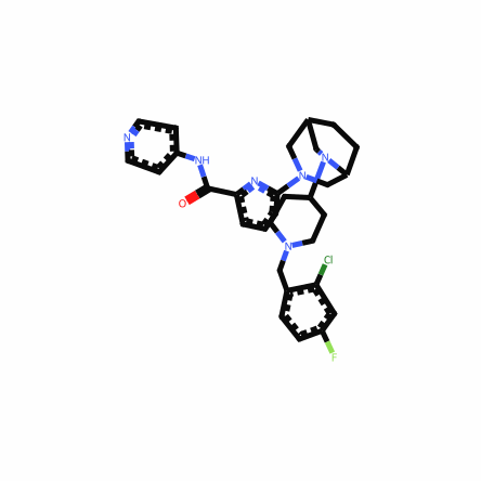 O=C(Nc1ccncc1)c1cccc(N2CC3CCC(C2)N(C2CCN(Cc4ccc(F)cc4Cl)CC2)C3)n1